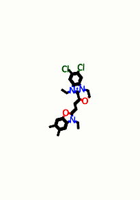 CCN1C(=CC=C2OCCn3c2[n+](CC)c2cc(Cl)c(Cl)cc23)Oc2cc(C)c(C)cc21